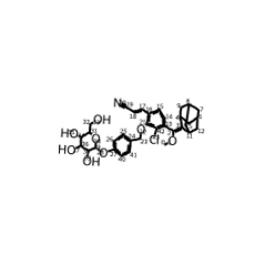 COC(=C1C2CC3CC(C2)CC1C3)c1ccc(/C=C/C#N)c(OCc2ccc(O[C@@H]3OC(CO)[C@H](O)C(O)[C@@H]3O)cc2)c1Cl